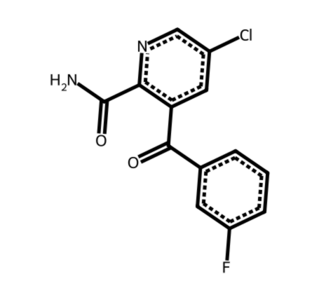 NC(=O)c1ncc(Cl)cc1C(=O)c1cccc(F)c1